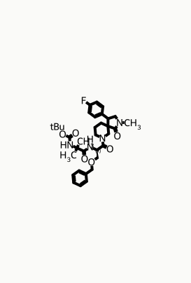 CN1CC(c2ccc(F)cc2)C2(CCCN(C(=O)[C@@H](COCc3ccccc3)NC(=O)C(C)(C)NC(=O)OC(C)(C)C)C2)C1=O